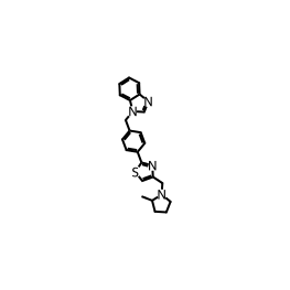 CC1CCCN1Cc1csc(-c2ccc(Cn3cnc4ccccc43)cc2)n1